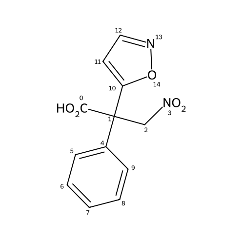 O=C(O)C(C[N+](=O)[O-])(c1ccccc1)c1ccno1